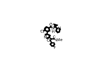 CNC(=O)C1c2cc(-c3cc(C(=O)NC4(c5ccccn5)CC4)ccc3Cl)cnc2OC1c1ccc(F)cc1